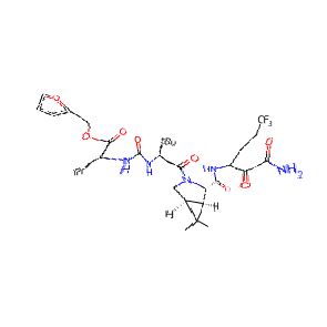 CC(C)[C@H](NC(=O)N[C@H](C(=O)N1C[C@H]2[C@@H]([C@H]1C(=O)NC(CCC(F)(F)F)C(=O)C(N)=O)C2(C)C)C(C)(C)C)C(=O)OCc1ccco1